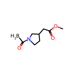 BC(=O)N1CCC(CC(=O)OC)C1